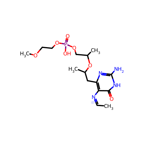 C/C=N\c1c(CC(C)OC(C)COP(=O)(O)OCCOC)nc(N)[nH]c1=O